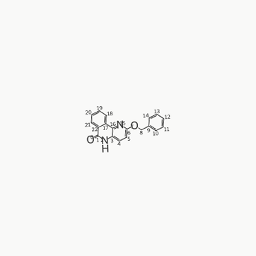 O=c1[nH]c2ccc(OCc3ccccc3)nc2c2ccccc12